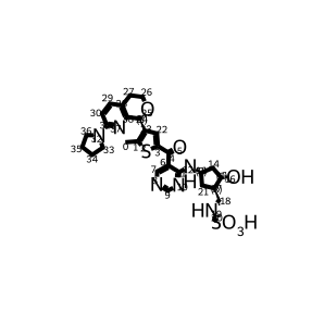 Cc1sc(C(=O)c2cncnc2N[C@H]2C[C@H](O)[C@@H]([CH]NS(=O)(=O)O)C2)cc1[C@@H]1OCCc2ccc(N3CCCC3)nc21